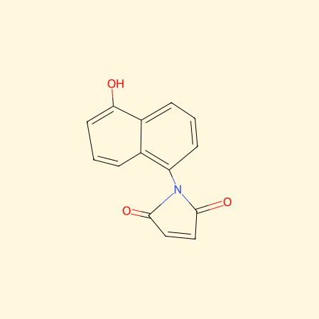 O=C1C=CC(=O)N1c1cccc2c(O)cccc12